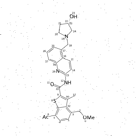 COCc1ccc(C(C)=O)c2sc(C(=O)Nc3ccc4c(CN5CC[C@H](O)C5)cccc4n3)c(C)c12